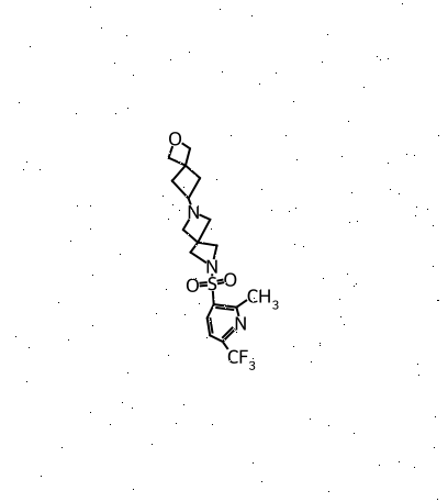 Cc1nc(C(F)(F)F)ccc1S(=O)(=O)N1CC2(CN(C3CC4(COC4)C3)C2)C1